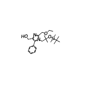 CCOCc1nc(CO)c(-c2ccccc2)n1CC(C)(C)O[Si](C)(C)C(C)(C)C